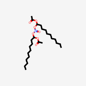 CCCCCCCCCCC(OC(C)=O)O[N+](=O)OC(CCCCCCCCCC)OC(C)=O